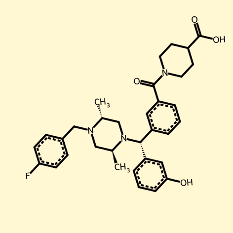 C[C@@H]1CN([C@@H](c2cccc(O)c2)c2cccc(C(=O)N3CCC(C(=O)O)CC3)c2)[C@@H](C)CN1Cc1ccc(F)cc1